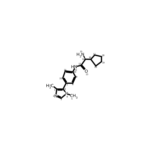 Cc1ncn(C)c1-c1ccc(NC(=O)[C@@H](N)C2CCCC2)cc1